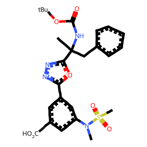 CN(c1cc(C(=O)O)cc(-c2nnc(C(C)(Cc3ccccc3)NC(=O)OC(C)(C)C)o2)c1)S(C)(=O)=O